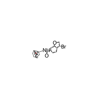 O=C(NN1CC2CCC(CC2)C1)c1ccc2c(Br)coc2c1